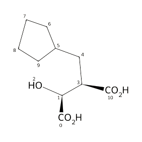 O=C(O)[C@@H](O)[C@@H](CC1CCCC1)C(=O)O